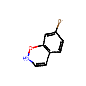 Brc1ccc2c(c1)ONC=C2